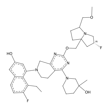 CCc1c(F)ccc2cc(O)cc(N3CCc4c(nc(OCC56CCC(COC)N5C[C@H](F)C6)nc4N4CCCC(C)(O)C4)C3)c12